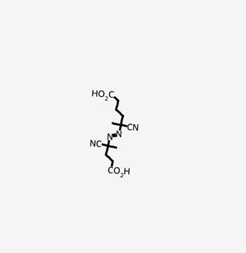 CC(C#N)(CCCC(=O)O)N=NC(C)(C#N)CCC(=O)O